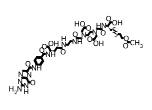 CC(=O)OCCSSC[C@H](NC(=O)CN(CCN(CC(=O)O)CC(=O)NCCNC(=O)CC[C@@H](NC(=O)c1ccc(NC(=O)c2cnc3nc(N)[nH]c(=O)c3n2)cc1)C(=O)O)CC(=O)O)C(=O)O